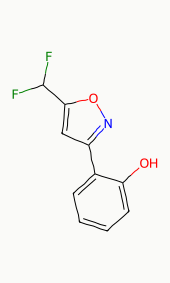 Oc1ccccc1-c1cc(C(F)F)on1